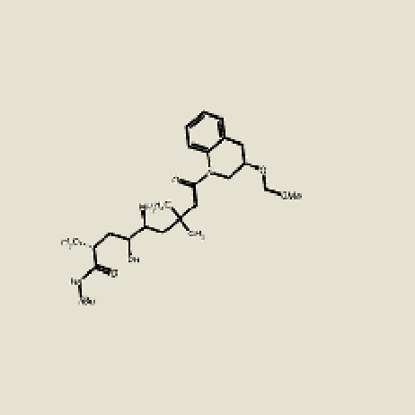 CCCCNC(=O)[C@H](C)C[C@H](O)[C@@H](N)CC(C)(C)CC(=O)N1C[C@H](OCOC)Cc2ccccc21